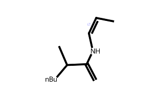 C=C(N/C=C\C)C(C)CCCC